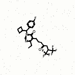 CCc1ncn(C(c2ccc(F)cc2)C2CCC2)c(=O)c1CCCC(=O)CC(C(F)(F)F)C(F)(F)F